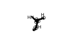 CNCCCCCCn1c(=O)n(CCCCCCNC=O)c(=O)n(CCCCCCNC(=O)OC(C)(C)COC(C)(C)C)c1=O